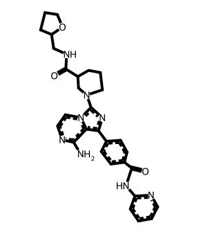 Nc1nccn2c(N3CCCC(C(=O)NCC4CCCO4)C3)nc(-c3ccc(C(=O)Nc4ccccn4)cc3)c12